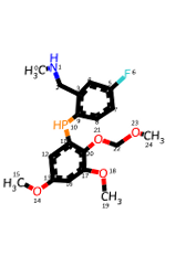 CNCc1cc(F)ccc1Pc1cc(OC)cc(OC)c1OCOC